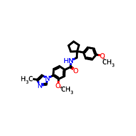 COc1ccc(C2(CNC(=O)c3ccc(-n4cnc(C)c4)c(OC)c3)CCCC2)cc1